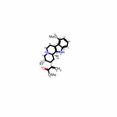 C=C(C(=O)OC)[C@H]1C[C@@H]2c3[nH]c4cccc(OC)c4c3CCN2C[C@H]1CC